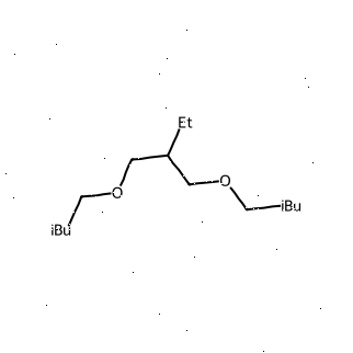 CCC(C)COCC(CC)COCC(C)CC